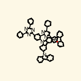 c1ccc(-c2cc(-c3ccccc3)nc(-c3cc(-c4nc(-c5ccccc5)nc(-c5ccccc5)n4)ccc3-n3c4ccc(-n5c6ccccc6c6ccccc65)cc4c4cc(-n5c6ccccc6c6ccccc65)ccc43)n2)cc1